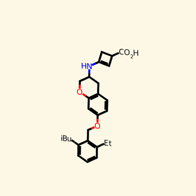 CCc1cccc(C(C)CC)c1COc1ccc2c(c1)OCC(NC1=CC(C(=O)O)C1)C2